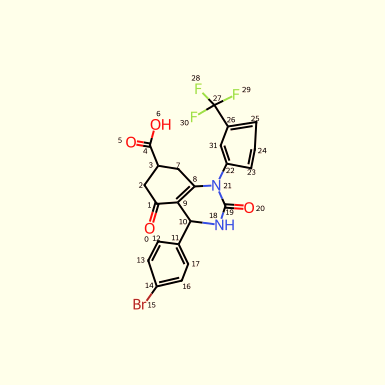 O=C1CC(C(=O)O)CC2=C1C(c1ccc(Br)cc1)NC(=O)N2c1cccc(C(F)(F)F)c1